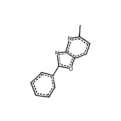 Cc1ccc2oc(-c3ccccc3)nc2n1